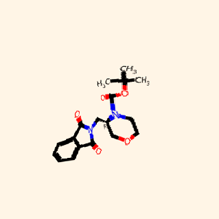 CC(C)(C)OC(=O)N1CCOC[C@H]1CN1C(=O)c2ccccc2C1=O